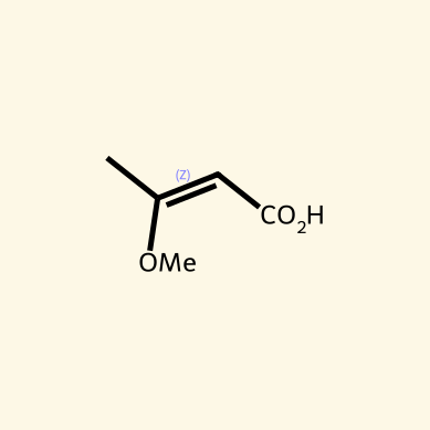 CO/C(C)=C\C(=O)O